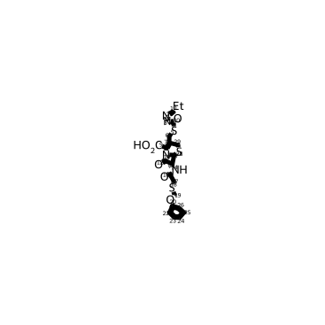 CCc1nnc(SCC2=C(C(=O)O)N3C(=O)[C@H](NC(=O)CSCOc4ccccc4)C3SC2)o1